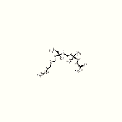 CCC(C)(CCOCCNC)OCCC(C)(C)OCC(C)=O